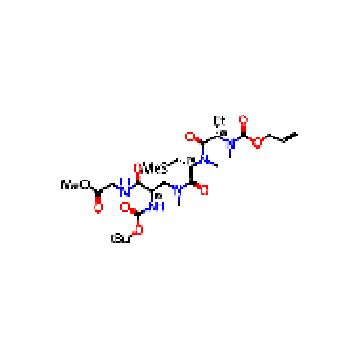 C=CCOC(=O)N(C)[C@@H](CC)C(=O)N(C)[C@@H](CSC)C(=O)N(C)C[C@@H](NC(=O)OC(C)(C)C)C(=O)NCC(=O)OC